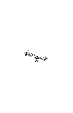 CCOC(Cc1ccc(OCCN(CCCCOCc2ccc(F)cc2)C(=O)NCC(F)(F)F)cc1)C(=O)O